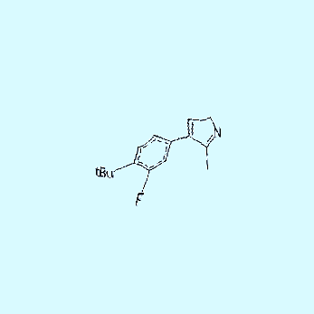 CC1=NCC=C1c1ccc(C(C)(C)C)c(F)c1